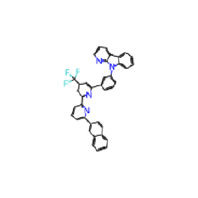 FC(F)(F)C1C=C(c2cccc(-n3c4ccccc4c4cccnc43)c2)N=C(c2cccc(-c3ccc4ccccc4c3)n2)C1